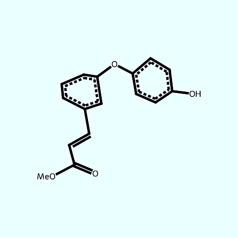 COC(=O)/C=C/c1cccc(Oc2ccc(O)cc2)c1